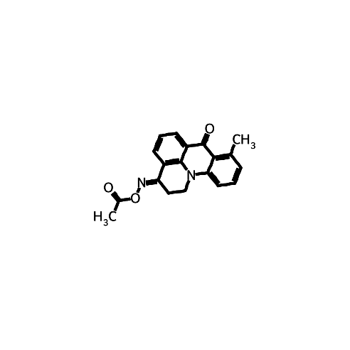 CC(=O)O/N=C1\CCn2c3cccc(C)c3c(=O)c3cccc1c32